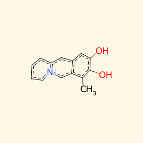 Cc1c(O)c(O)cc2cc3cccc[n+]3cc12